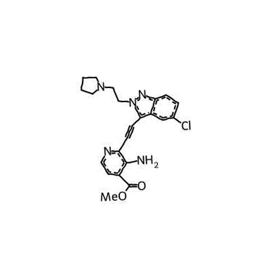 COC(=O)c1ccnc(C#Cc2c3cc(Cl)ccc3nn2CCN2CCCC2)c1N